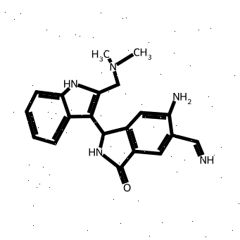 CN(C)Cc1[nH]c2ccccc2c1C1NC(=O)c2cc(C=N)c(N)cc21